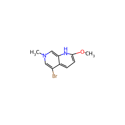 COC1=CC=C2C(Br)=CN(C)C=C2N1